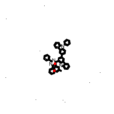 Cc1cccc(C)c1-n1c2ccccc2c2cc(-c3ccc4c(c3)c3ccccc3n4-c3ccccc3)cc(-c3nc(-c4ccccc4)nc(-c4ccccc4)n3)c21